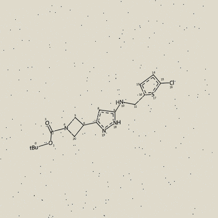 CC(C)(C)OC(=O)N1CC(c2cc(NCc3ccc(Cl)s3)[nH]n2)C1